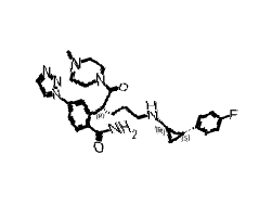 CN1CCN(C(=O)[C@H](CCCN[C@@H]2C[C@H]2c2ccc(F)cc2)c2cc(-n3ccnn3)ccc2C(N)=O)CC1